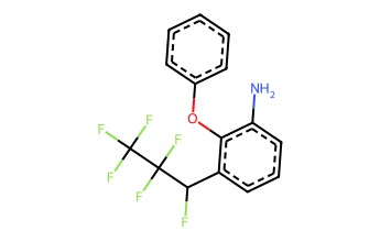 Nc1cccc(C(F)C(F)(F)C(F)(F)F)c1Oc1ccccc1